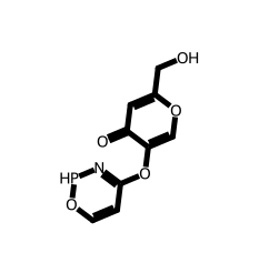 O=c1cc(CO)occ1OC1=NPOC=C1